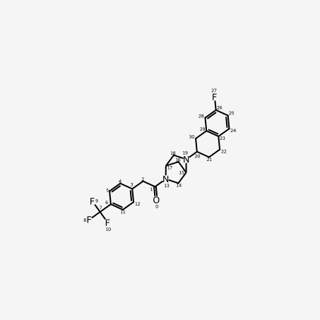 O=C(Cc1ccc(C(F)(F)F)cc1)N1CC2CC1CN2C1CCc2ccc(F)cc2C1